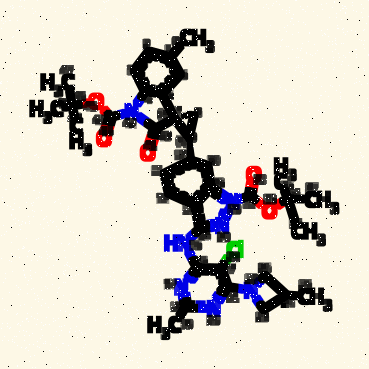 Cc1ccc2c(c1)[C@]1(C[C@H]1c1ccc3c(Nc4nc(C)nc(N5CC(C)C5)c4Cl)nn(C(=O)OC(C)(C)C)c3c1)C(=O)N2C(=O)OC(C)(C)C